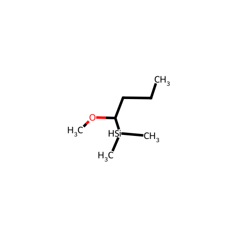 CCCC(OC)[SiH](C)C